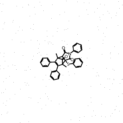 CC12C(=O)C(C)(C(c3ccccc3)=C1c1ccccc1)C1(Sc3ccccc3)C(=O)N(c3ccccc3)C(=O)C21